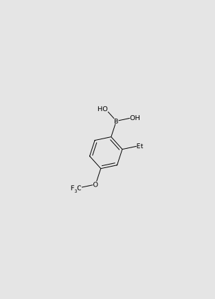 CCc1cc(OC(F)(F)F)ccc1B(O)O